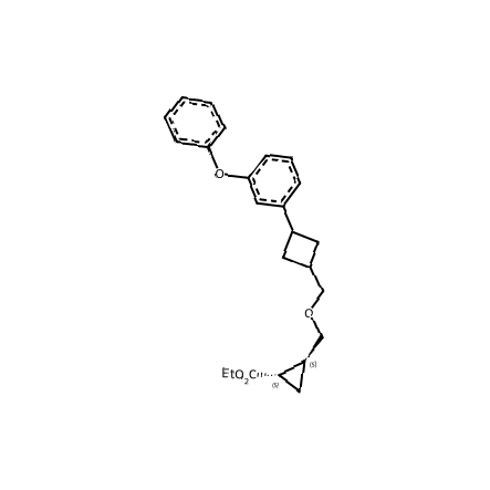 CCOC(=O)[C@H]1C[C@@H]1COCC1CC(c2cccc(Oc3ccccc3)c2)C1